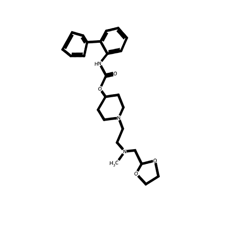 CN(CCN1CCC(OC(=O)Nc2ccccc2-c2ccccc2)CC1)CC1OCCO1